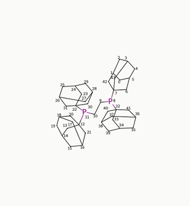 C1C2CC3CC1CC(P(CCP(C14CC5CC(CC(C5)C1)C4)C14CC5CC(CC(C5)C1)C4)C14CC5CC(CC(C5)C1)C4)(C2)C3